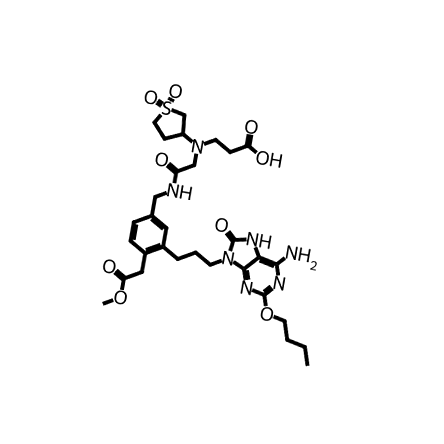 CCCCOc1nc(N)c2[nH]c(=O)n(CCCc3cc(CNC(=O)CN(CCC(=O)O)C4CCS(=O)(=O)C4)ccc3CC(=O)OC)c2n1